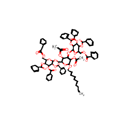 C=CCCCCCCCCOC1OC(COC2OC(COC(=O)c3ccccc3)C(OC(=O)c3ccccc3)C(OC(=O)c3ccccc3)C2OC(=O)c2ccccc2)C(OC(C)=O)C(OC2OC(COC(=O)c3ccccc3)C(OC(=O)c3ccccc3)C(OC(=O)c3ccccc3)C2OC(=O)c2ccccc2)C1OC(C)=O